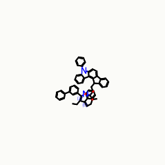 CCC1=C(c2cccc(-c3ccccc3)c2)/N=C(/CCC2c3ccccc3-c3ccc4c(c32)c2ccccc2n4-c2ccccc2)C(C)C\C=C\1c1ccccc1